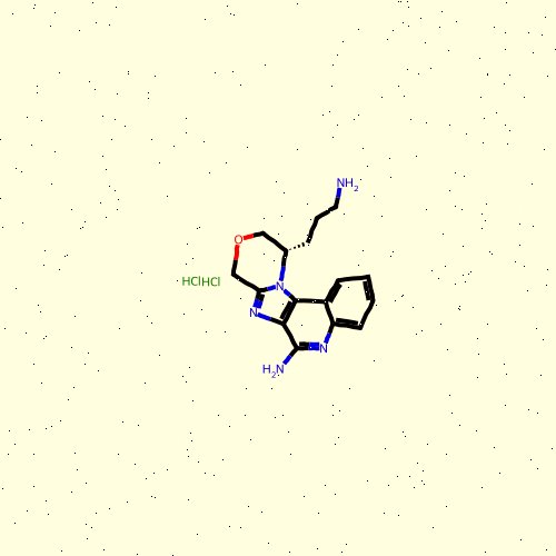 Cl.Cl.NCCC[C@H]1COCc2nc3c(N)nc4ccccc4c3n21